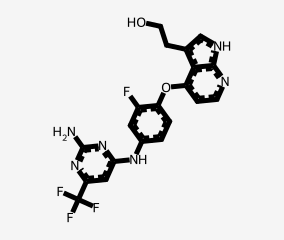 Nc1nc(Nc2ccc(Oc3ccnc4[nH]cc(CCO)c34)c(F)c2)cc(C(F)(F)F)n1